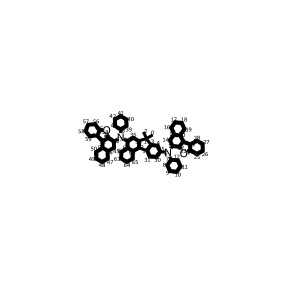 CC1(C)c2cc(N(c3ccccc3)c3cc4ccccc4c4c3oc3ccccc34)ccc2-c2c1cc(N(c1ccccc1)c1cc3ccccc3c3c1oc1ccccc13)c1ccccc21